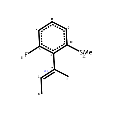 C/C=C(\C)c1c(F)cccc1SC